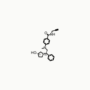 C#CCNC(=O)c1ccc(N(C)C[C@@H](c2ccccc2)N2CC[C@H](O)C2)cc1